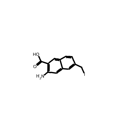 Nc1cc2cc(CI)ccc2cc1C(=O)O